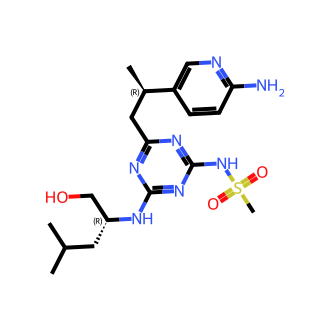 CC(C)C[C@H](CO)Nc1nc(C[C@@H](C)c2ccc(N)nc2)nc(NS(C)(=O)=O)n1